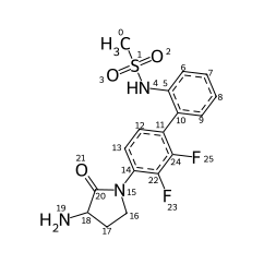 CS(=O)(=O)Nc1ccccc1-c1ccc(N2CCC(N)C2=O)c(F)c1F